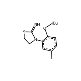 CCC(C)Oc1ccc(C)cc1N1CCSC1=N